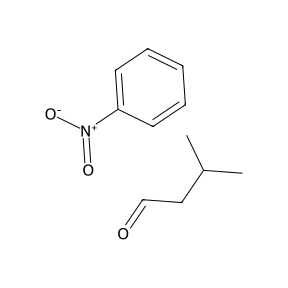 CC(C)CC=O.O=[N+]([O-])c1ccccc1